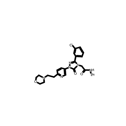 CC(C)NC(=O)Cn1c(-c2cccc(Cl)c2)nn(-c2ccc(CCN3CCOCC3)nc2)c1=O